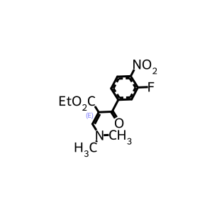 CCOC(=O)/C(=C/N(C)C)C(=O)c1ccc([N+](=O)[O-])c(F)c1